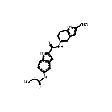 CC(C)(C)OC(=O)Nc1ccc2[nH]c(C(=O)NC3=Cc4cc(C=O)[nH]c4CC3)cc2c1